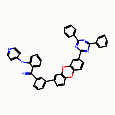 N=C(c1cccc(-c2ccc3c(c2)Oc2cc(-c4nc(-c5ccccc5)nc(-c5ccccc5)n4)ccc2O3)c1)c1ccccc1Nc1ccncc1